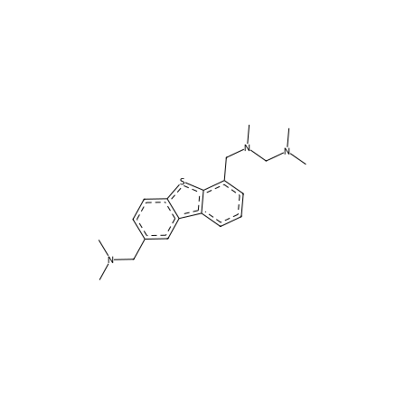 CN(C)Cc1ccc2sc3c(CN(C)CN(C)C)cccc3c2c1